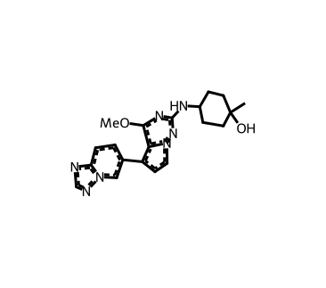 COc1nc(NC2CCC(C)(O)CC2)nn2ccc(-c3ccc4ncnn4c3)c12